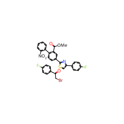 COC(=O)c1cc(-c2nc(-c3ccc(F)cc3)cs2)ccc1-c1ccccc1[N+](=O)[O-].O=C(CBr)c1ccc(F)cc1